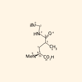 CCC(C)CNC(=O)C(C)C[C@H](NC)C(=O)O